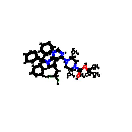 C[C@@H]1CN(c2ncnc3c2c(C=C(F)F)cn3C(c2ccccc2)(c2ccccc2)c2ccccc2)[C@@H](C)CN1C(=O)OC(C)(C)C